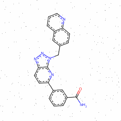 NC(=O)c1cccc(-c2ccc3nnn(Cc4ccc5ncccc5c4)c3n2)c1